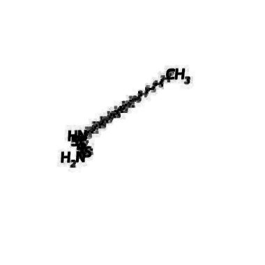 CCCCCCCCCCCCCCCCCCCCCCCCNC(=S)SSC(N)=S